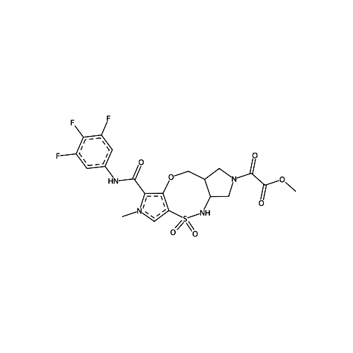 COC(=O)C(=O)N1CC2COc3c(cn(C)c3C(=O)Nc3cc(F)c(F)c(F)c3)S(=O)(=O)NC2C1